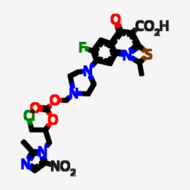 Cc1ncc([N+](=O)[O-])n1CC(CCl)OC(=O)OCN1CCN(c2cc3c(cc2F)c(=O)c(C(=O)O)c2n3C(C)S2)CC1